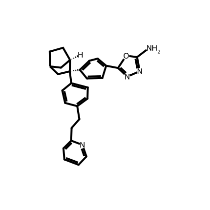 Nc1nnc(-c2ccc([C@]3(c4ccc(CCc5ccccn5)cc4)CC4CC[C@@H]3C4)cc2)o1